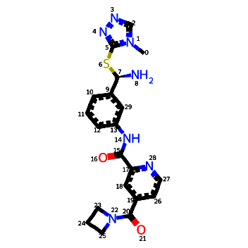 Cn1cnnc1S[C@@H](N)c1cccc(NC(=O)c2cc(C(=O)N3CCC3)ccn2)c1